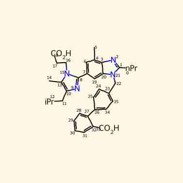 CCCc1nc2c(C)cc(-c3nc(CC(C)C)c(C)n3CCC(=O)O)cc2n1Cc1ccc(-c2ccccc2C(=O)O)cc1